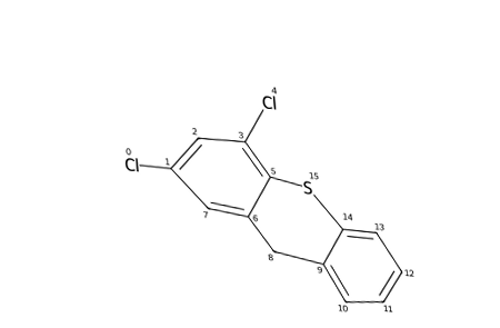 Clc1cc(Cl)c2c(c1)Cc1ccccc1S2